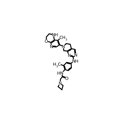 Cc1cc(Nc2ncc3c(n2)CN(c2cnc4c(c2C)NCCO4)CC3)ccc1NC(=O)CN1CCC1